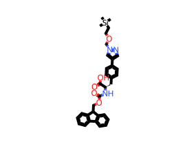 C[Si](C)(C)CCOCn1cc(-c2ccc(C[C@H](NC(=O)OCC3c4ccccc4-c4ccccc43)C(=O)O)cc2)cn1